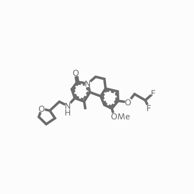 COc1cc2c(cc1OCC(F)F)CCn1c-2c(C)c(NCC2CCCO2)cc1=O